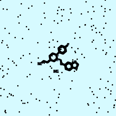 Cl.N#CCCN1CC[C@@H](c2ccc(F)cc2)[C@H](COc2ccc3c(c2)OCO3)C1